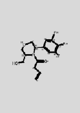 C=CCC(=O)N1[C@@H](CO)COC[C@H]1c1cc(F)c(F)c(F)c1